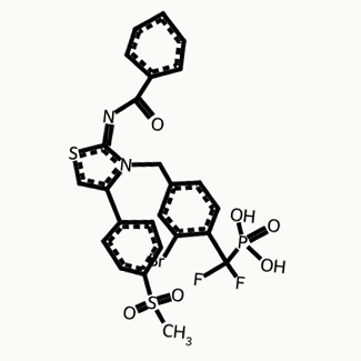 CS(=O)(=O)c1ccc(-c2csc(=NC(=O)c3ccccc3)n2Cc2ccc(C(F)(F)P(=O)(O)O)c(Br)c2)cc1